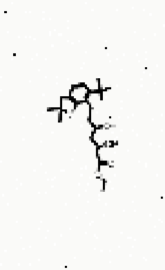 CCOC(=O)CC(O)CC(O)CCc1c(C(C)(C)C)ccc2c1OC(C)(C)C2